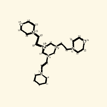 C1CCN(CCN2CN(CCN3CCOCC3)CN(CCN3CCOCC3)C2)CC1